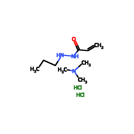 C=CC(=O)NNCCC.CN(C)C.Cl.Cl